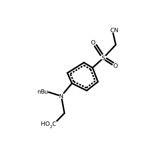 CCCCN(CC(=O)O)c1ccc(S(=O)(=O)CC#N)cc1